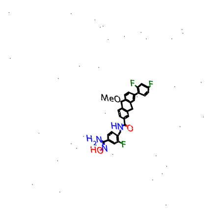 CO[C@@H]1c2ccc(C(=O)NCc3ccc(C(N)=NO)cc3F)cc2Cc2cc(-c3ccc(F)cc3F)ccc21